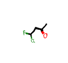 CC(=O)CC(F)Cl